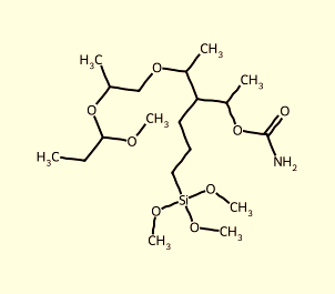 CCC(OC)OC(C)COC(C)C(CCC[Si](OC)(OC)OC)C(C)OC(N)=O